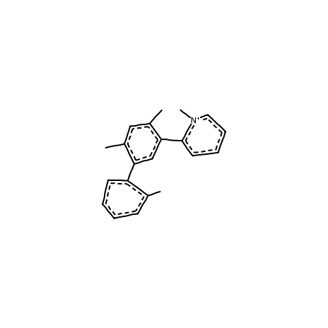 Cc1ccccc1-c1cc(-c2cccc[n+]2C)c(C)cc1C